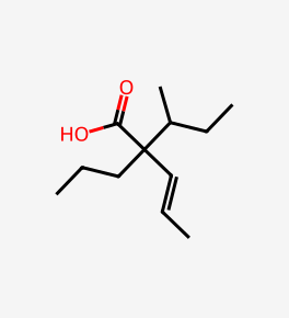 CC=CC(CCC)(C(=O)O)C(C)CC